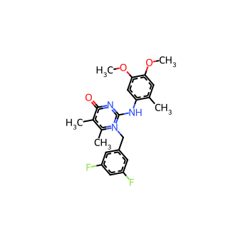 COc1cc(C)c(Nc2nc(=O)c(C)c(C)n2Cc2cc(F)cc(F)c2)cc1OC